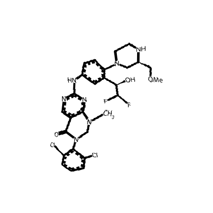 COC[C@H]1CN(c2ccc(Nc3ncc4c(n3)N(C)CN(c3c(Cl)cccc3Cl)C4=O)cc2[C@@H](O)C(F)F)CCN1